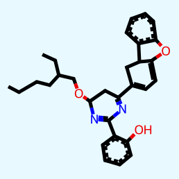 CCCCC(CC)COC1CC(C2=CC=C3Oc4ccccc4C3C2)=NC(c2ccccc2O)=N1